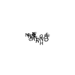 CCCn1c(CNc2cncc(C(=O)NCc3ccccc3C(F)(F)F)c2)nnc1-c1ccncn1